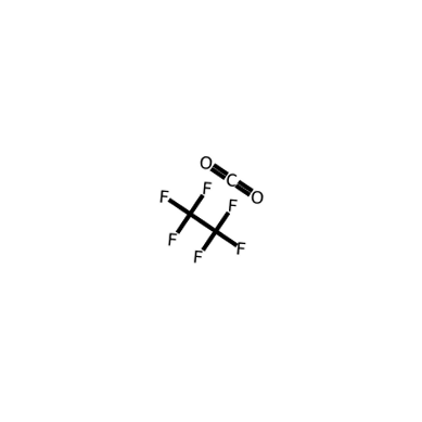 FC(F)(F)C(F)(F)F.O=C=O